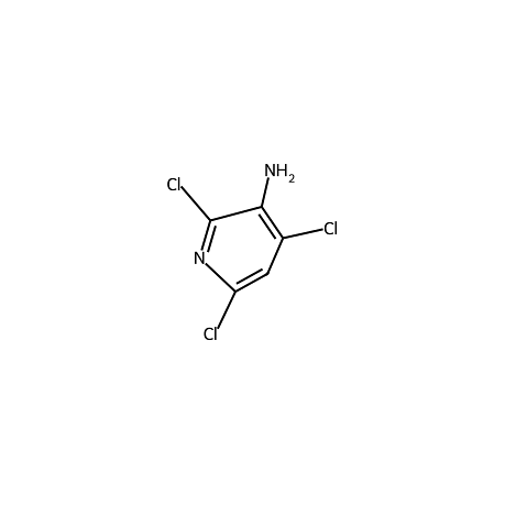 Nc1c(Cl)cc(Cl)nc1Cl